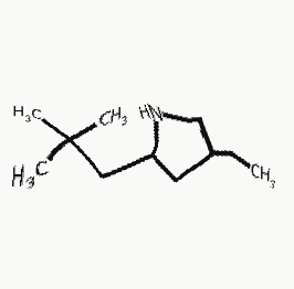 CC1CNC(CC(C)(C)C)C1